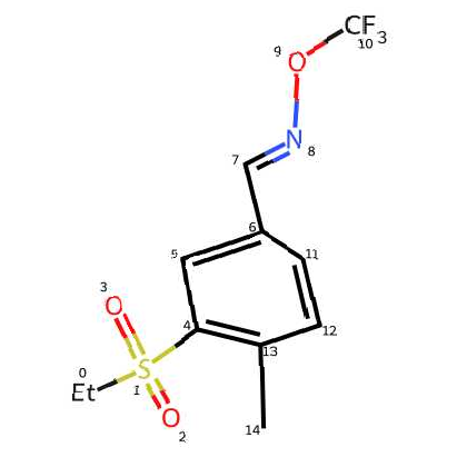 CCS(=O)(=O)c1cc(/C=N/OC(F)(F)F)ccc1C